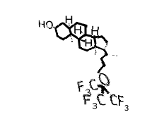 C[C@H](CCCOC(C(F)(F)F)(C(F)(F)F)C(F)(F)F)[C@H]1CC[C@H]2[C@@H]3CC[C@@H]4C[C@H](O)CC[C@]4(C)[C@H]3CC[C@]12C